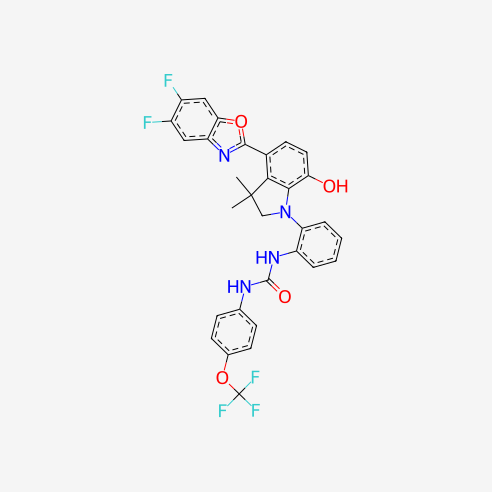 CC1(C)CN(c2ccccc2NC(=O)Nc2ccc(OC(F)(F)F)cc2)c2c(O)ccc(-c3nc4cc(F)c(F)cc4o3)c21